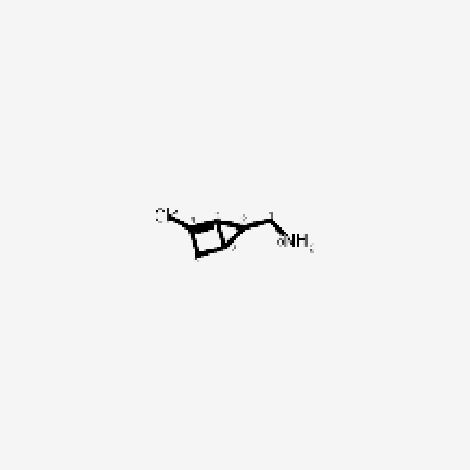 NCC1C2=C(Cl)CC21